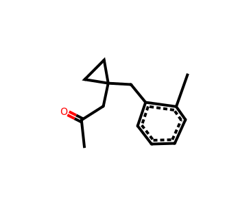 CC(=O)CC1(Cc2ccccc2C)CC1